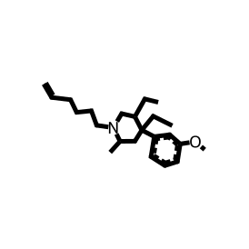 C=CCCCCN1CC(CC)C(CC)(c2cccc(OC)c2)CC1C